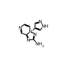 NC1=N[N+]2(c3cn[nH]c3)C=CN=CC2=N1